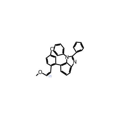 CO/C=C\c1ccc(Cl)cc1-c1cccc2nc(-c3ccccc3)n(-c3ccccc3)c12